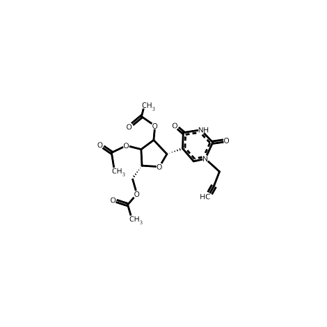 C#CCn1cc([C@@H]2O[C@H](COC(C)=O)C(OC(C)=O)C2OC(C)=O)c(=O)[nH]c1=O